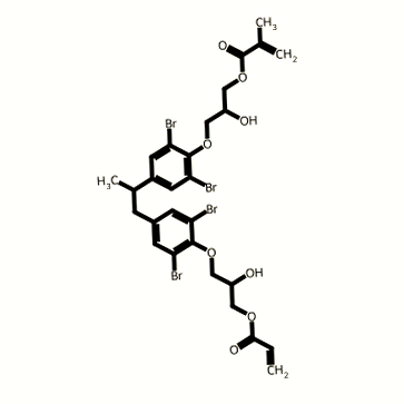 C=CC(=O)OCC(O)COc1c(Br)cc(CC(C)c2cc(Br)c(OCC(O)COC(=O)C(=C)C)c(Br)c2)cc1Br